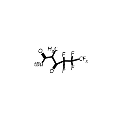 CC(C(=O)C(C)(C)C)C(=O)C(F)(F)C(F)(F)C(F)(F)F